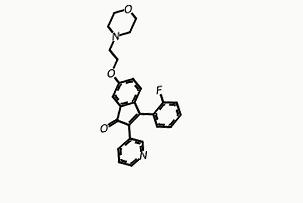 O=C1C(c2cccnc2)=C(c2ccccc2F)c2ccc(OCCN3CCOCC3)cc21